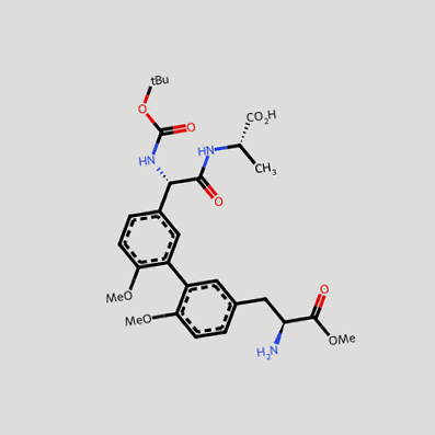 COC(=O)[C@@H](N)Cc1ccc(OC)c(-c2cc([C@H](NC(=O)OC(C)(C)C)C(=O)N[C@@H](C)C(=O)O)ccc2OC)c1